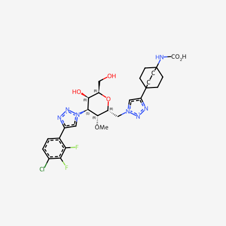 CO[C@@H]1[C@@H](n2cc(-c3ccc(Cl)c(F)c3F)nn2)[C@@H](O)[C@@H](CO)O[C@@H]1Cn1cc(C23CCC(NC(=O)O)(CC2)CC3)nn1